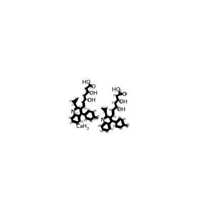 O=C(O)C[C@H](O)C[C@H](O)C=Cc1c(C2CC2)nc2ccccc2c1-c1ccc(F)cc1.O=C(O)C[C@H](O)C[C@H](O)C=Cc1c(C2CC2)nc2ccccc2c1-c1ccc(F)cc1.[CaH2]